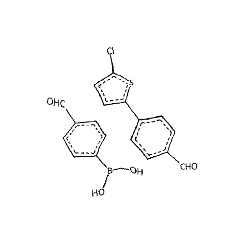 O=Cc1ccc(-c2ccc(Cl)s2)cc1.O=Cc1ccc(B(O)O)cc1